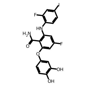 NC(=O)c1c(Nc2ccc(I)cc2F)cc(F)cc1Oc1ccc(O)c(O)c1